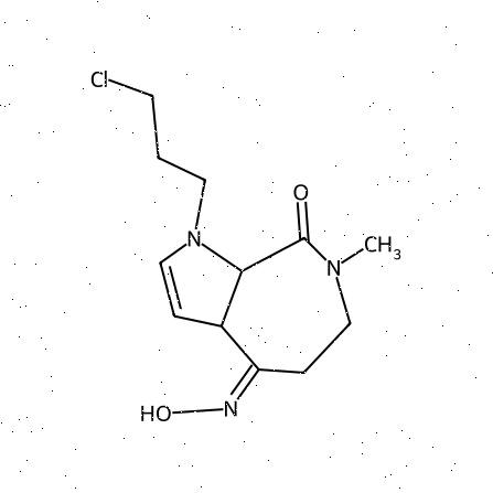 CN1CC/C(=N/O)C2C=CN(CCCCl)C2C1=O